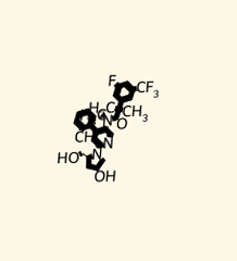 Cc1ccccc1-c1cc(N2C[C@@H](O)C[C@@H]2CO)ncc1N(C)C(=O)C(C)(C)c1cc(F)cc(C(F)(F)F)c1